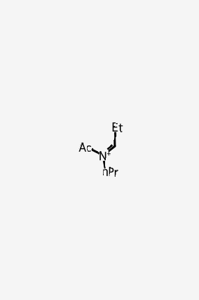 CCC=[N+](CCC)C(C)=O